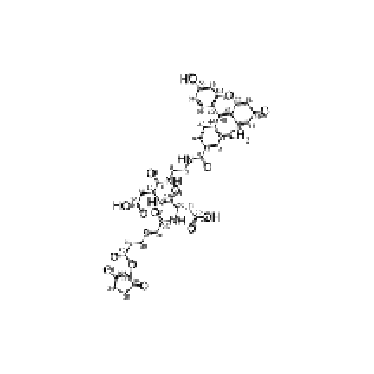 Cc1cc(C(=O)NCCNC(=O)[C@H](CC(=O)O)NC(=O)[C@H](CC(=O)O)NC(=O)CSCCC(=O)ON2C(=O)CCC2=O)ccc1-c1c2ccc(=O)cc-2oc2cc(O)ccc12